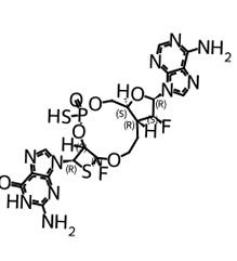 Nc1nc2c(ncn2[C@@H]2S[C@@]3(F)OCC[C@H]4[C@H](F)[C@H](n5cnc6c(N)ncnc65)O[C@@H]4COP(=O)(S)O[C@@H]23)c(=O)[nH]1